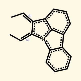 C/C=c1\c(=C/C)n2c3ccccc3c3cccc1c32